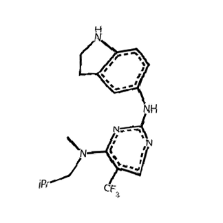 CC(C)CN(C)c1nc(Nc2ccc3c(c2)CCN3)ncc1C(F)(F)F